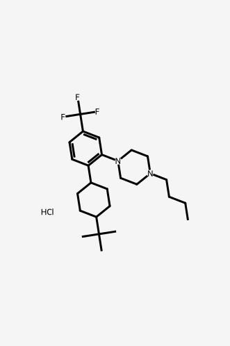 CCCCN1CCN(c2cc(C(F)(F)F)ccc2C2CCC(C(C)(C)C)CC2)CC1.Cl